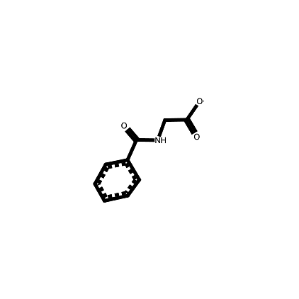 [O]C(=O)CNC(=O)c1ccccc1